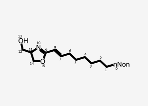 CCCCCCCCCCCCCCCC=CC1=NC(CO)CO1